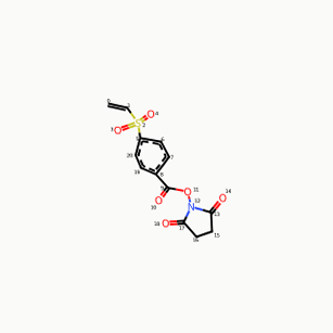 C=CS(=O)(=O)c1ccc(C(=O)ON2C(=O)CCC2=O)cc1